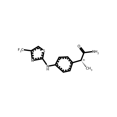 C[C@@H](C(N)=O)c1ccc(Nc2nc(C(F)(F)F)cs2)cc1